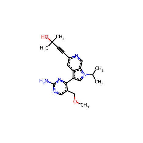 COCc1cnc(N)nc1-c1cn(C(C)C)c2cnc(C#CC(C)(C)O)cc12